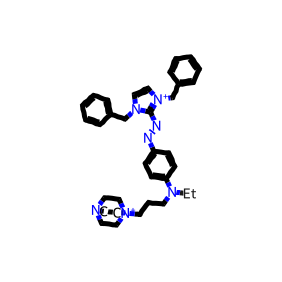 CCN(CCC[N+]12CCN(CC1)CC2)c1ccc(/N=N/c2n(Cc3ccccc3)cc[n+]2Cc2ccccc2)cc1